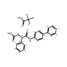 O=C(O)C(F)(F)F.O=C(O)CN(C(=O)Nc1ccc(-c2ccncc2)cc1)c1ccccc1